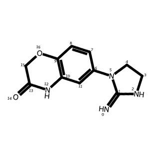 N=C1NCCN1c1ccc2c(c1)NC(=O)CO2